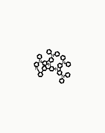 N#Cc1ccccc1-c1cccc(-c2ccc(-n3c4ccc(N(c5ccccc5)c5ccccc5)cc4c4cc(N(c5ccccc5)c5ccccc5)ccc43)cc2-n2c3ccc(N(c4ccccc4)c4ccccc4)cc3c3cc(N(c4ccccc4)c4ccccc4)ccc32)c1